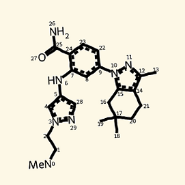 CNCCn1cc(Nc2cc(-n3nc(C)c4c3CC(C)(C)CC4)ccc2C(N)=O)cn1